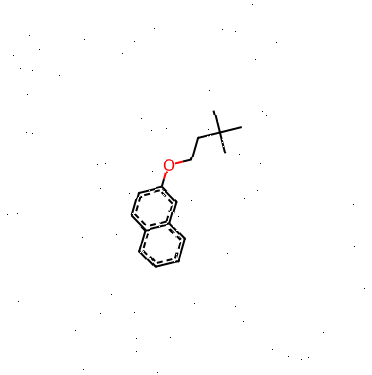 CC(C)(C)CCOc1ccc2ccccc2c1